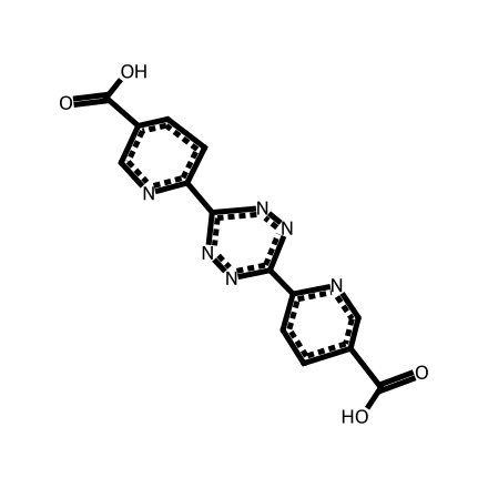 O=C(O)c1ccc(-c2nnc(-c3ccc(C(=O)O)cn3)nn2)nc1